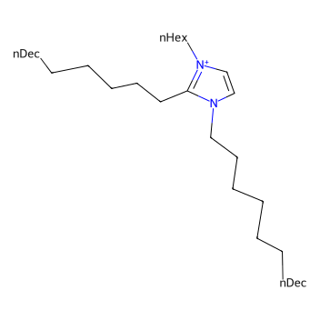 CCCCCCCCCCCCCCCCn1cc[n+](CCCCCC)c1CCCCCCCCCCCCCCC